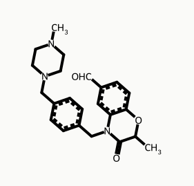 CC1Oc2ccc(C=O)cc2N(Cc2ccc(CN3CCN(C)CC3)cc2)C1=O